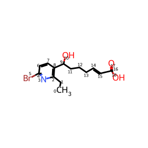 CCc1nc(Br)ccc1C(O)CCC/C=C/C(=O)O